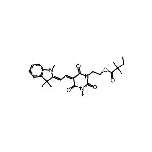 CCC(C)(C)C(=O)OCCN1C(=O)/C(=C/C=C2\N(C)c3ccccc3C2(C)C)C(=O)N(C)C1=O